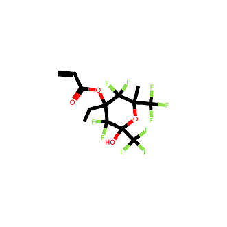 C=CC(=O)OC1(CC)C(F)(F)C(C)(C(F)(F)F)OC(O)(C(F)(F)F)C1(F)F